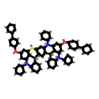 c1ccc(-c2ccc(Oc3cc4c5c(c3)N(c3ccccc3)c3ccccc3B5c3cc5c(cc3S4)N(c3ccccc3)c3cc(Oc4ccc(-c6ccccc6)cc4)cc4c3B5c3ccccc3N4c3ccccc3)cc2)cc1